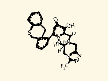 O=C1c2c(O)c(=O)cc(-c3cccc4c3Cc3ccccc3SC4)n2N[C@@H]2Cn3c(nnc3C(F)(F)F)CN12